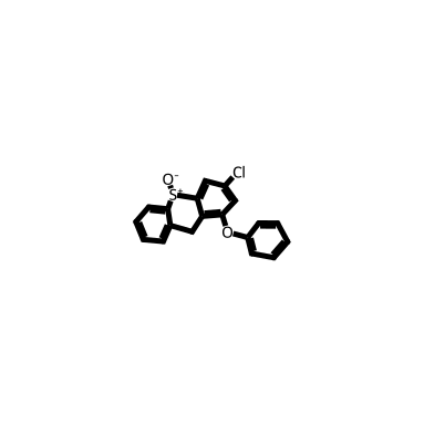 [O-][S+]1c2ccccc2Cc2c(Oc3ccccc3)cc(Cl)cc21